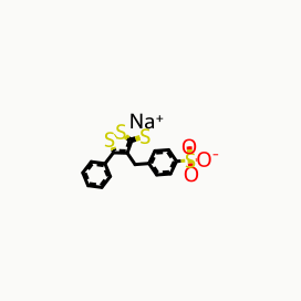 O=S(=O)([O-])c1ccc(Cc2c(-c3ccccc3)ssc2=S)cc1.[Na+]